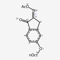 CCCCCCCCOc1ccc2c(c1)C/C(=N/OC(C)=O)C2=O